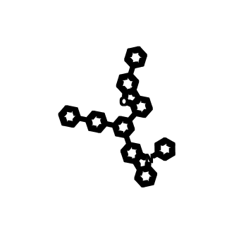 c1ccc(-c2ccc(-c3cc(-c4ccc5c6ccccc6n(-c6ccccc6)c5c4)cc(-c4cccc5c4oc4ccc(-c6ccccc6)cc45)c3)cc2)cc1